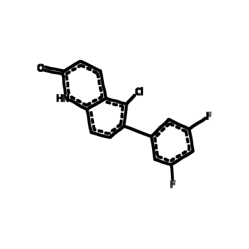 O=c1ccc2c(Cl)c(-c3cc(F)cc(F)c3)ccc2[nH]1